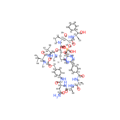 CC[C@H](C)[C@@H]([C@@H](CC(=O)N1CCC[C@H]1[C@H](OC)[C@@H](C)C(=O)N[C@H](C)[C@@H](O)c1ccccc1)OC)N(C)C(=O)[C@@H](NC(=O)[C@H](C(C)C)N(C)C(=O)OCc1ccc(NC(=O)[C@H](CC(N)=O)NC(=O)[C@H](C)NC(=O)[C@H](C)NC(=O)c2ccc(-c3nnc(CP(=O)(O)O)nn3)cc2)cc1)C(C)C